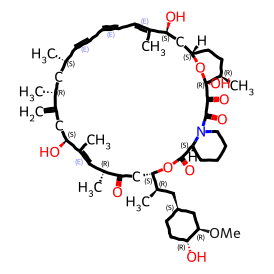 C=C1C[C@H](O)/C(C)=C/[C@@H](C)C(=O)C[C@@H]([C@H](C)C[C@@H]2CC[C@@H](O)[C@H](OC)C2)OC(=O)[C@@H]2CCCCN2C(=O)C(=O)[C@]2(O)O[C@@H](CC[C@H]2C)C[C@H](O)/C(C)=C/C=C/C=C/[C@@H](C)C[C@H]1C